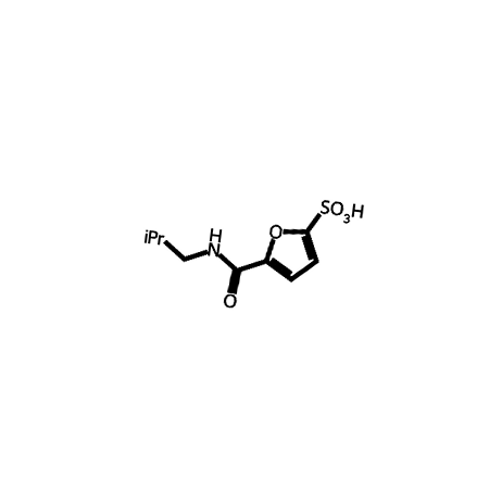 CC(C)CNC(=O)c1ccc(S(=O)(=O)O)o1